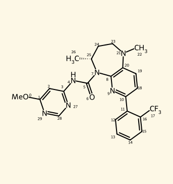 COc1cc(NC(=O)N2c3nc(-c4ccccc4C(F)(F)F)ccc3N(C)CC[C@H]2C)ncn1